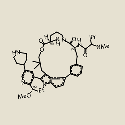 CCn1c(-c2cc(C3CCNCC3)cnc2[C@H](C)OC)c2c3cc(ccc31)-c1cccc(c1)C[C@H](NC(=O)C(NC)C(C)C)C(=O)N1CCC[C@H](N1)C(=O)OCC(C)(C)C2